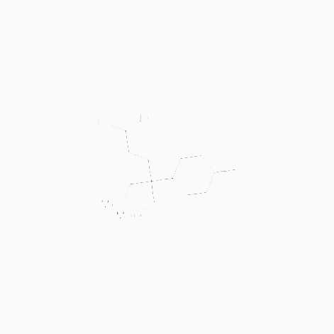 CCC(CC)CCC(COC)(COC)C1CCC(C)CC1